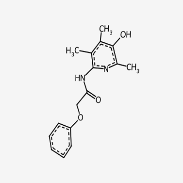 Cc1nc(NC(=O)COc2ccccc2)c(C)c(C)c1O